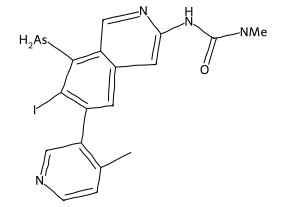 CNC(=O)Nc1cc2cc(-c3cnccc3C)c(I)c([AsH2])c2cn1